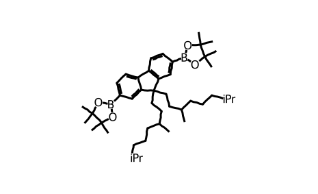 CC(C)CCCC(C)CCC1(CCC(C)CCCC(C)C)c2cc(B3OC(C)(C)C(C)(C)O3)ccc2-c2ccc(B3OC(C)(C)C(C)(C)O3)cc21